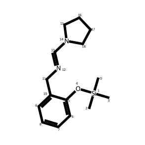 C[Si](C)(C)Oc1ccccc1CN=CN1CCCC1